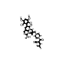 CNc1ncc2cc(-c3c(Cl)c(OC)cc(OC)c3Cl)c(=O)n(CC3(CN4CCN(C(=O)C(C#N)=CC(C)C)CC4)CC3)c2n1